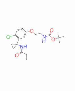 CCC(=O)NC1(c2cc(OCCNC(=O)OC(C)(C)C)ccc2Cl)CC1